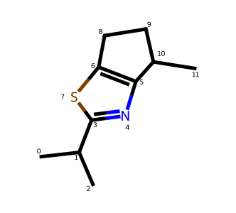 CC(C)c1nc2c(s1)CCC2C